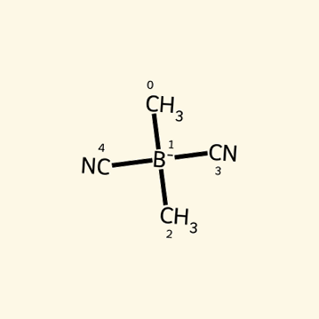 C[B-](C)(C#N)C#N